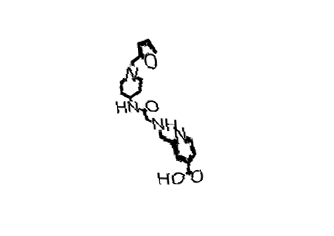 O=C(CNCc1cc(C(=O)O)ccn1)NC1CCN(Cc2ccco2)CC1